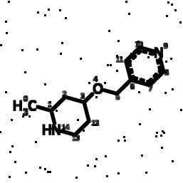 CC1CC(OCc2ccncc2)CCN1